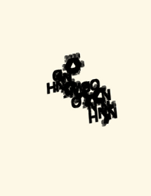 COc1cnc(-n2cnc(C)n2)c2[nH]cc(C(=O)C(=O)N3Cc4[nH]c(=O)n(-c5ccccc5)c4C3)c12